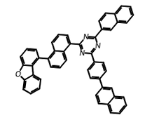 c1ccc2cc(-c3ccc(-c4nc(-c5ccc6ccccc6c5)nc(-c5cccc6c(-c7cccc8oc9ccccc9c78)cccc56)n4)cc3)ccc2c1